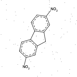 O=[N+]([O-])c1ccc2c(c1)Cc1cc([N+](=O)[O-])ccc1-2